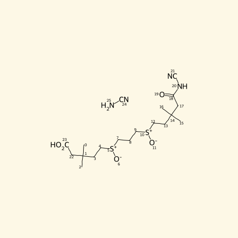 CC(C)(CC[S+]([O-])CCC[S+]([O-])CCC(C)(C)CC(=O)NC#N)CC(=O)O.N#CN